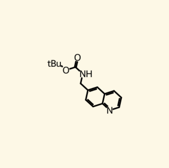 CC(C)(C)OC(=O)NCc1ccc2ncccc2c1